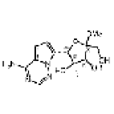 CO[C@]1(CO)O[C@@H](c2ccc3c(N)ncnn23)[C@](C)(O)[C@@H]1O